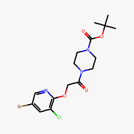 CC(C)(C)OC(=O)N1CCN(C(=O)COc2ncc(Br)cc2Cl)CC1